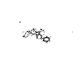 Cn1c(=O)n(CC(C)(C)C)c2ccc(-c3c[c]ccc3)cc21